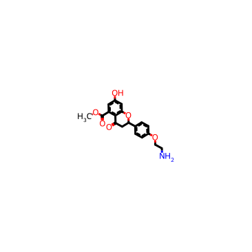 COC(=O)c1cc(O)cc2c1C(=O)CC(c1ccc(OCCN)cc1)O2